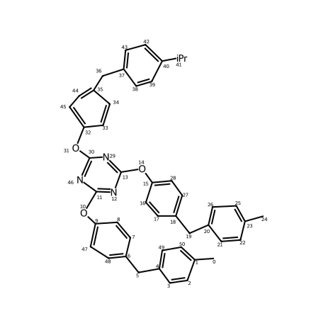 Cc1ccc(Cc2ccc(Oc3nc(Oc4ccc(Cc5ccc(C)cc5)cc4)nc(Oc4ccc(Cc5ccc(C(C)C)cc5)cc4)n3)cc2)cc1